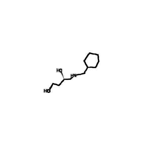 OCC[C@H](O)CNCC1CCCCC1